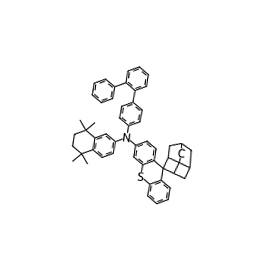 CC1(C)CCC(C)(C)c2cc(N(c3ccc(-c4ccccc4-c4ccccc4)cc3)c3ccc4c(c3)Sc3ccccc3C43C4CC5CC6CC3C64C5)ccc21